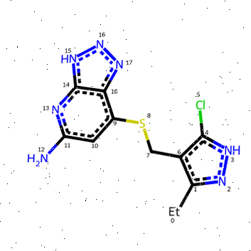 CCc1n[nH]c(Cl)c1CSc1cc(N)nc2[nH]nnc12